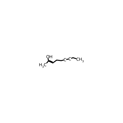 CCCCCC/C=C(/C)O